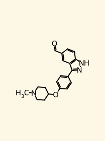 CN1CCC(Oc2ccc(-c3n[nH]c4ccc(C=O)cc34)cc2)CC1